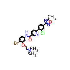 Cc1nc(-c2ccc(-c3ccc(C(=O)Nc4ccc(Br)c(OCCN(C)C)c4)cn3)c(Cl)c2)no1